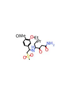 CCOc1cc(C(CS(C)(=O)=O)NC(CC(C)C)C(=O)CC(N)=O)ccc1OC